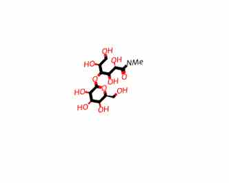 CNC(=O)[C@@H](O)C(O)C(OC1O[C@@H](CO)[C@@H](O)[C@@H](O)[C@H]1O)[C@@H](O)CO